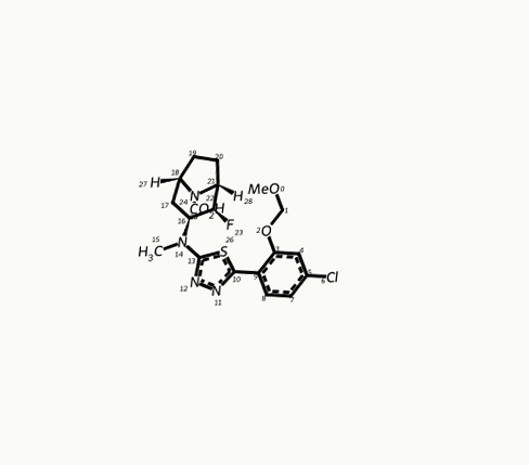 COCOc1cc(Cl)ccc1-c1nnc(N(C)[C@H]2C[C@@H]3CC[C@H]([C@H]2F)N3C(=O)O)s1